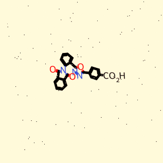 O=C(O)c1ccc(-c2nnc(-c3ccccc3N3C(=O)c4ccccc4C3=O)o2)cc1